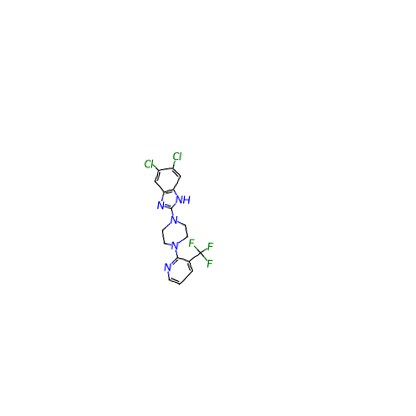 FC(F)(F)c1cccnc1N1CCN(c2nc3cc(Cl)c(Cl)cc3[nH]2)CC1